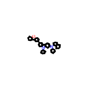 c1ccc(N(c2ccc3c4cc(-c5ccc6oc7ccccc7c6c5)ccc4n(-c4ccccc4)c3c2)c2cccc3ccccc23)cc1